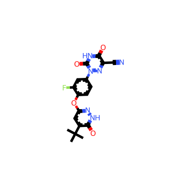 CC(C)(C)c1cc(Oc2ccc(-n3nc(C#N)c(=O)[nH]c3=O)cc2F)n[nH]c1=O